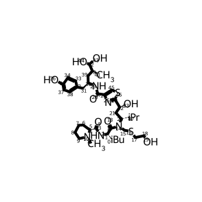 CCC(C)[C@H](NC(=O)[C@H]1CCCCN1C)C(=O)N(CSCCO)[C@H](C[C@@H](O)c1nc(C(=O)N[C@@H](Cc2ccc(O)cc2)C[C@H](C)C(O)O)cs1)C(C)C